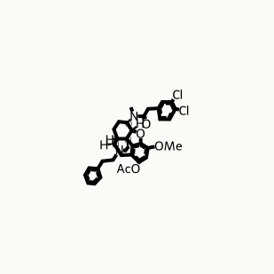 COc1cc(OC(C)=O)c2c3c1O[C@H]1[C@H](N(C)C(=O)Cc4ccc(Cl)c(Cl)c4)CC[C@H]4[C@@H](C2)N(CCc2ccccc2)CC[C@@]341